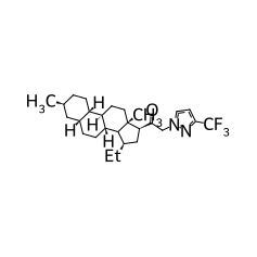 CC[C@@H]1C[C@H](C(=O)Cn2ccc(C(F)(F)F)n2)[C@@]2(C)CC[C@@H]3[C@H]4CC[C@H](C)C[C@H]4CC[C@H]3C12